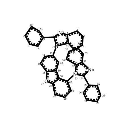 c1ccc(-c2nc3ccccc3n2-c2ccc3oc4cccc(-n5c(-c6ccccc6)nc6ccccc65)c4c3c2)cc1